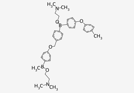 CB(OCCN(C)C)c1ccc(OCc2ccc(B(OCCN(C)C)c3ccc(Oc4ccc(C)cc4)cc3)cc2)cc1